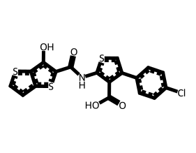 O=C(Nc1scc(-c2ccc(Cl)cc2)c1C(=O)O)c1sc2ccsc2c1O